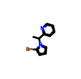 CC(c1ccccn1)n1cccc1Br